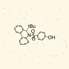 CC(C)(C)C1c2ccccc2-c2ccccc2N1S(=O)(=O)c1ccc(O)cc1